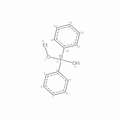 CCO[PH](O)(c1ccccc1)c1ccccc1